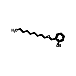 CCCCCCCCCOCc1ccccc1O